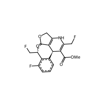 COC(=O)C1=C(CF)NC2=C(C(=O)OC2)[C@@H]1c1cccc(F)c1[C@@H](F)CF